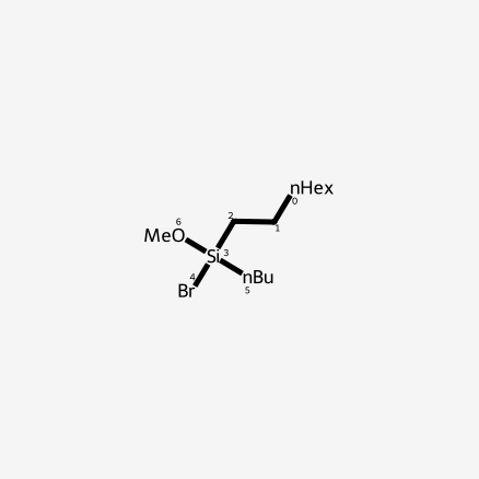 CCCCCCCC[Si](Br)(CCCC)OC